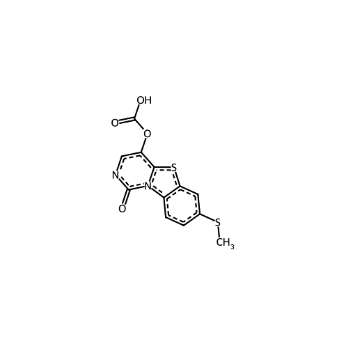 CSc1ccc2c(c1)sc1c(OC(=O)O)cnc(=O)n12